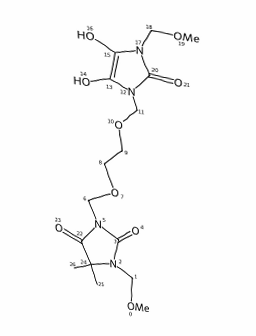 COCN1C(=O)N(COCCOCn2c(O)c(O)n(COC)c2=O)C(=O)C1(C)C